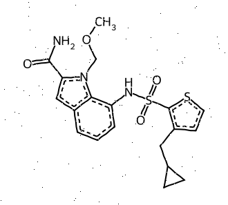 COCn1c(C(N)=O)cc2cccc(NS(=O)(=O)c3sccc3CC3CC3)c21